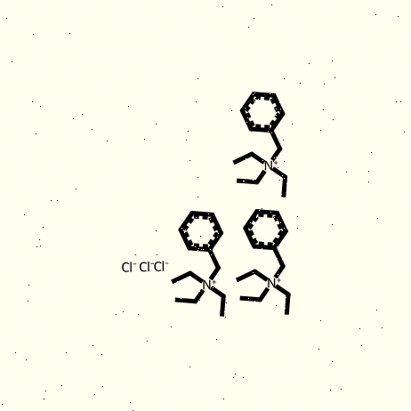 CC[N+](CC)(CC)Cc1ccccc1.CC[N+](CC)(CC)Cc1ccccc1.CC[N+](CC)(CC)Cc1ccccc1.[Cl-].[Cl-].[Cl-]